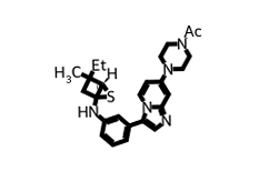 CCC1(C)CC2(Nc3cccc(-c4cnc5cc(N6CCN(C(C)=O)CC6)ccn45)c3)S[C@H]12